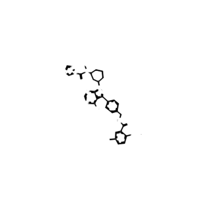 COc1ccc(C)cc1C(=O)NCc1ccc(-c2nn(C3CCCC(N(C)C(=O)n4cncn4)C3)c3ncnc(N)c23)cc1